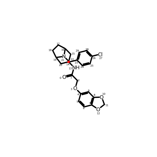 O=C(COc1ccc2c(c1)OCO2)NC1CC2CCC(C1)N2Cc1ccc(Cl)cc1